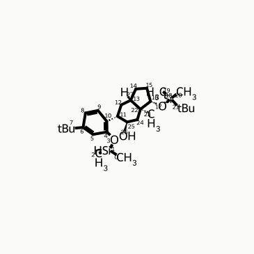 C[SiH](C)Oc1cc(C(C)(C)C)ccc1[C@@H]1C[C@@H]2CC[C@H](O[Si](C)(C)C(C)(C)C)[C@@]2(C)C[C@H]1O